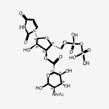 CC(=O)N[C@H]1C(O)O[C@H](C(=O)O[C@H]2[C@@H](O)[C@H](n3ccc(=O)[nH]c3=O)O[C@@H]2COP(=O)(O)OP(=O)(O)O)[C@@H](O)[C@@H]1O